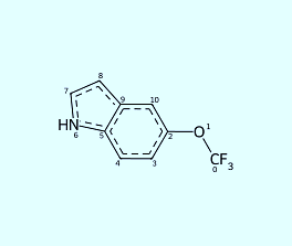 FC(F)(F)Oc1ccc2[nH]ccc2c1